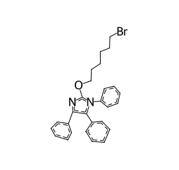 BrCCCCCCOc1nc(-c2ccccc2)c(-c2ccccc2)n1-c1ccccc1